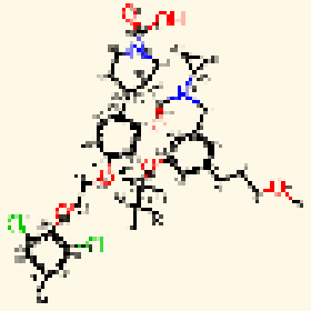 COCCCc1cc(CN(C(=O)[C@H]2CN(C(=O)O)CC[C@@H]2c2ccc(OCCOc3c(Cl)cc(C)cc3Cl)cc2)C2CC2)cc(O[Si](C)(C)C(C)(C)C)c1